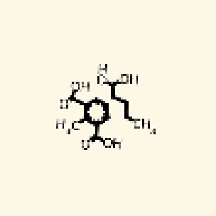 CCCCC(O)O.Cc1c(C(=O)O)cccc1C(=O)O